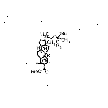 COC(=O)C1=C(F)C2CC[C@H]3[C@@H]4CC[C@H](C(C)CO[Si](C)(C)C(C)(C)C)[C@@]4(C)CC[C@@H]3[C@@]2(C)C=C1